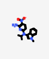 CC(C)N(c1ccc([N+](=O)[O-])c(N)n1)c1cn(C)c2ccccc12